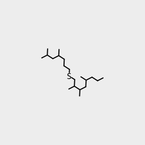 CCCC(C)CC(C)C(C)CSCCCC(C)CC(C)C